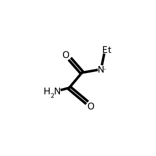 CC[N]C(=O)C(N)=O